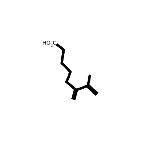 C=C(C)C(=C)CCCCC(=O)O